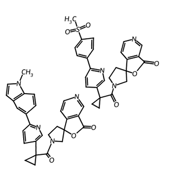 CS(=O)(=O)c1ccc(-c2ccc(C3(C(=O)N4CCC5(C4)OC(=O)c4cnccc45)CC3)cn2)cc1.Cn1ccc2cc(-c3ccc(C4(C(=O)N5CCC6(C5)OC(=O)c5cnccc56)CC4)cn3)ccc21